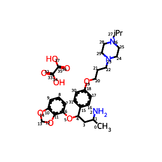 CC(N)CC(Oc1cccc2c1OCO2)c1ccc(OCCCN2CCN(C(C)C)CC2)cc1.O=C(O)C(=O)O